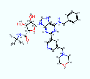 [2H]C([2H])([2H])NC(=O)[C@H]1O[C@@H](n2cnc3c(NCc4ccccc4)nc(-c4cncc(CN5CCOCC5)c4)nc32)[C@H](O)[C@@H]1O